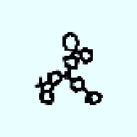 CC1(C)c2ccccc2-c2cc(N(c3ccc(C4CC5CCC4C5)cc3)c3ccc(C4(c5ccccc5)CCCCCC4)cc3)ccc21